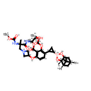 CC(C)(C)OC(=O)NC(C)(CN1CC(Oc2ccc(C3CC3B3OC4C[C@@H]5C[C@@H](C5(C)C)[C@]4(C)O3)c(OC(=O)OC(C)(C)C)c2C(=O)OC(C)(C)C)C1)C(=O)NCCO